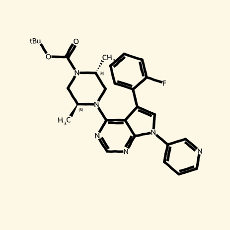 C[C@@H]1CN(c2ncnc3c2c(-c2ccccc2F)cn3-c2cccnc2)[C@@H](C)CN1C(=O)OC(C)(C)C